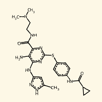 Cc1cc(Nc2nc(Sc3ccc(NC(=O)C4CC4)cc3)nc(C(=O)NCCN(C)C)c2N)n[nH]1